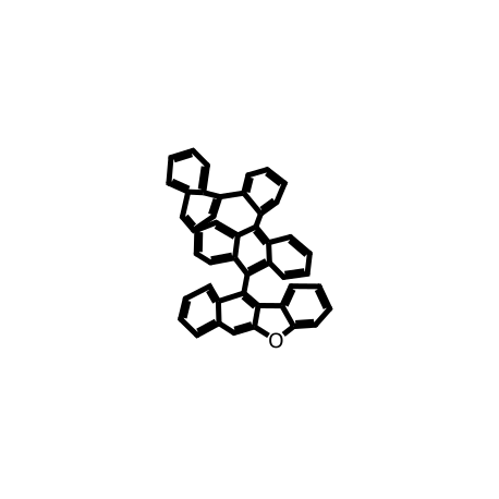 c1ccc(-c2c3ccccc3c(-c3c4ccccc4cc4oc5ccccc5c34)c3ccccc23)c(-c2cccc3ccccc23)c1